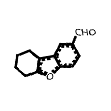 O=Cc1ccc2oc3c(c2c1)CCCC3